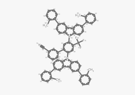 Cc1ccccc1-c1ccc2c(c1)c1cc(-c3ccccc3C)ccc1n2-c1cc(C(F)(F)F)c(-n2c3ccc(-c4ccccc4C)cc3c3cc(-c4ccccc4C)ccc32)cc1-c1cccc(C#N)c1